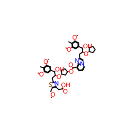 COCc1sc(CC(OC2CCC(OC(=O)c3cccn4cc(CC(OC5CCCC5)C(O)c5cc(OC)c(C)c(OC)c5)nc34)C2)C(O)c2cc(OC)c(C)c(OC)c2)nc1CC(=O)O